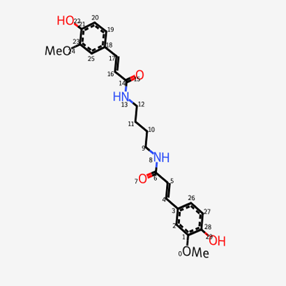 COc1cc(C=CC(=O)NCCCCNC(=O)C=Cc2ccc(O)c(OC)c2)ccc1O